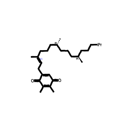 CC1=C(C)C(=O)C(C/C=C(\C)CCC[C@H](C)CCC[C@H](C)CCCC(C)C)=CC1=O